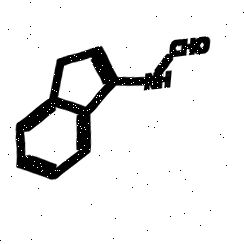 O=CNC1=CCc2ccccc21